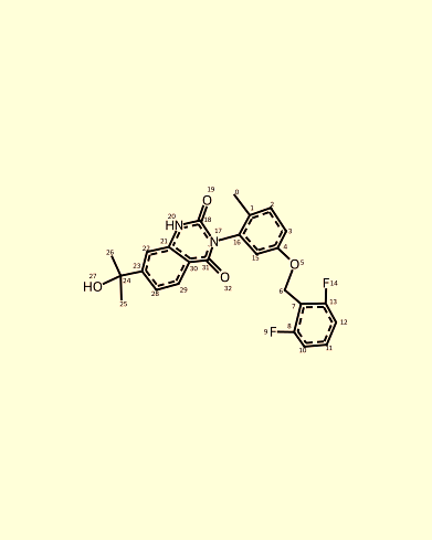 Cc1ccc(OCc2c(F)cccc2F)cc1-n1c(=O)[nH]c2cc(C(C)(C)O)ccc2c1=O